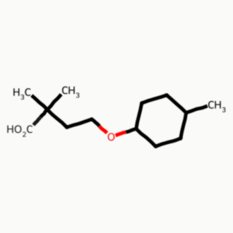 CC1CCC(OCCC(C)(C)C(=O)O)CC1